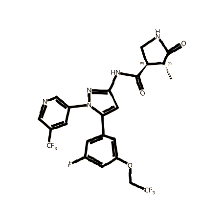 C[C@H]1C(=O)NC[C@@H]1C(=O)Nc1cc(-c2cc(F)cc(OCC(F)(F)F)c2)n(-c2cncc(C(F)(F)F)c2)n1